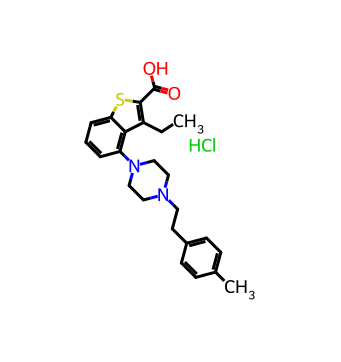 CCc1c(C(=O)O)sc2cccc(N3CCN(CCc4ccc(C)cc4)CC3)c12.Cl